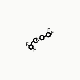 Fc1ccc(F)c(CC2CCN(C3CC=C(c4ccc(F)c(F)c4)CC3)CC2)c1